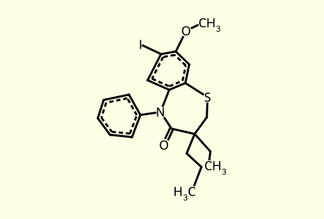 CCCC1(CC)CSc2cc(OC)c(I)cc2N(c2ccccc2)C1=O